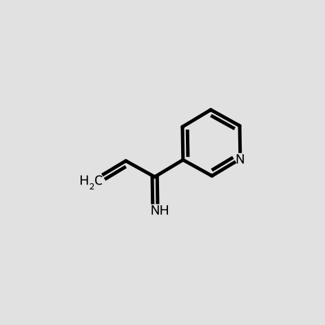 C=CC(=N)c1cccnc1